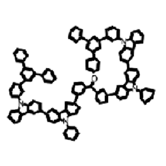 O=C(c1cccc(-c2ccc3c(c2)c2cc(-c4ccc5c(c4)c4ccccc4n5-c4cccc(-c5cc(-c6ccccc6)cc(-c6ccccc6)c5)c4)ccc2n3-c2ccccc2)c1)c1cccc(-c2ccc3c(c2)c2cc(-c4ccc5c(c4)c4ccccc4n5-c4cccc(-c5cc(-c6ccccc6)cc(-c6ccccc6)c5)c4)ccc2n3-c2ccccc2)c1